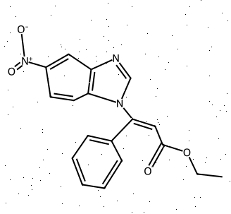 CCOC(=O)C=C(c1ccccc1)n1cnc2cc([N+](=O)[O-])ccc21